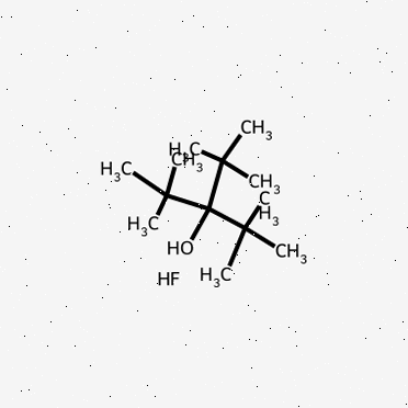 CC(C)(C)C(O)(C(C)(C)C)C(C)(C)C.F